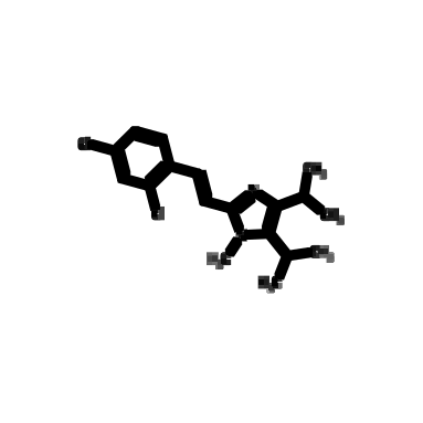 CC(C)c1nc(C=Cc2ccc(Cl)cc2Cl)n(C)c1C(C)C